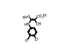 CCOC(=O)C(C#N)=C(Nc1ccc(Cl)c(Cl)c1)SC